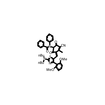 CCCCN(CCCC)c1nc(-c2c(OC)cccc2OC)c(/C=C2\C(=O)C(N(C(=O)c3ccccc3)c3ccccc3)C(=O)C(C#N)=C2C)s1